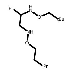 CC[C](CNOCCC(C)C)NOCC(C)(C)C